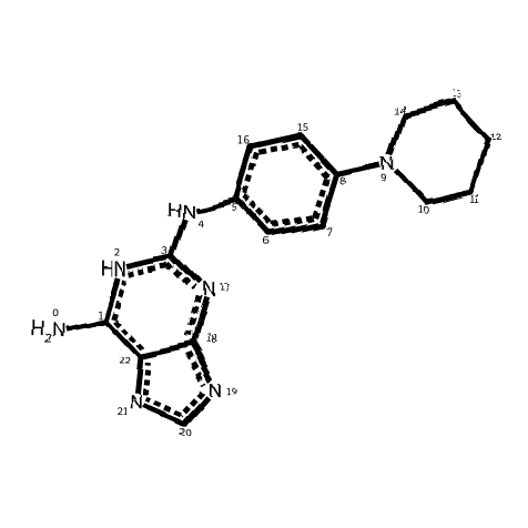 Nc1[nH]c(Nc2ccc(N3CCCCC3)cc2)nc2ncnc1-2